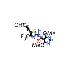 COc1ncnc(OC)c1C(=O)Nc1nc(C(F)(F)F)c(C#CC=O)s1